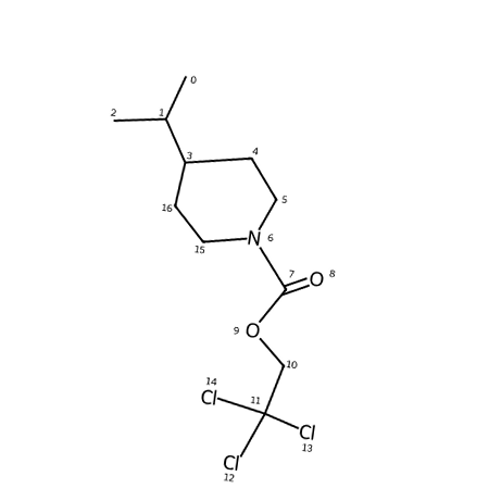 CC(C)C1CCN(C(=O)OCC(Cl)(Cl)Cl)CC1